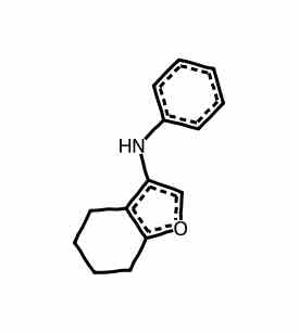 c1ccc(Nc2coc3c2CCCC3)cc1